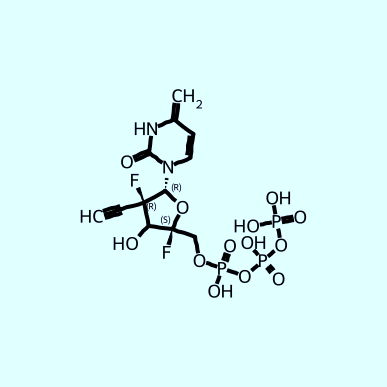 C#C[C@@]1(F)C(O)[C@@](F)(COP(=O)(O)OP(=O)(O)OP(=O)(O)O)O[C@H]1N1C=CC(=C)NC1=O